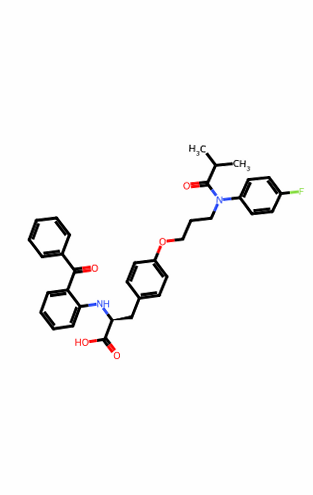 CC(C)C(=O)N(CCCOc1ccc(C[C@H](Nc2ccccc2C(=O)c2ccccc2)C(=O)O)cc1)c1ccc(F)cc1